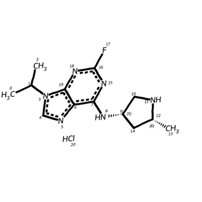 CC(C)n1cnc2c(N[C@@H]3CN[C@H](C)C3)nc(F)nc21.Cl